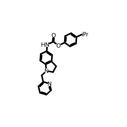 CC(C)c1ccc(OC(=O)Nc2ccc3c(c2)CCN3Cc2ccccn2)cc1